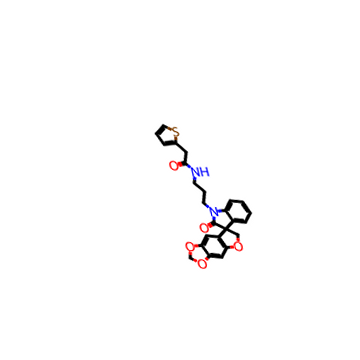 O=C(Cc1cccs1)NCCCN1C(=O)C2(COc3cc4c(cc32)OCO4)c2ccccc21